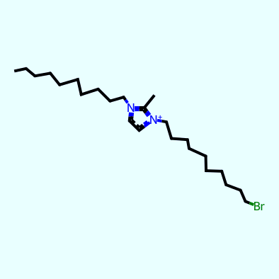 CCCCCCCCCCn1cc[n+](CCCCCCCCCCBr)c1C